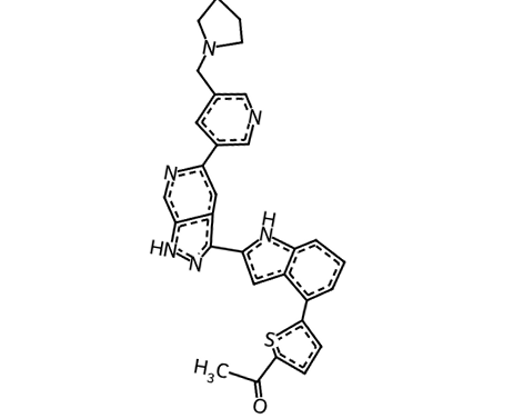 CC(=O)c1ccc(-c2cccc3[nH]c(-c4n[nH]c5cnc(-c6cncc(CN7CCCC7)c6)cc45)cc23)s1